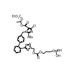 CCCCc1nc(Cl)c(C(=O)OC(C)OC(=O)OCC)n1Cc1ccc(-c2ccccc2-c2nnn(COC(=O)OCCCON(O)O)n2)cc1